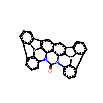 O=C1N2c3cccc4c3B3c5c-4cccc5-c4cc5cc6c7c(c5c2c43)N1c1cccc2c1B7c1c-2cccc1-6